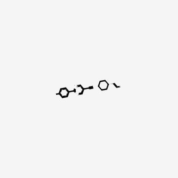 CCC=C[C@H]1CC[C@H](C#Cc2cnc(-c3ccc(F)cc3)nc2)CC1